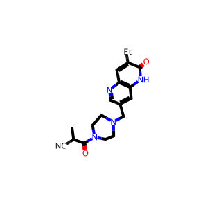 CCc1cc2ncc(CN3CCN(C(=O)C(C)C#N)CC3)cc2[nH]c1=O